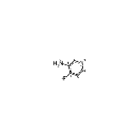 Nc1cnccc1F